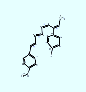 C\C=C(/C=C\C=N\C=C\c1ccc(OC(C)C)cc1)c1ccc(F)cc1